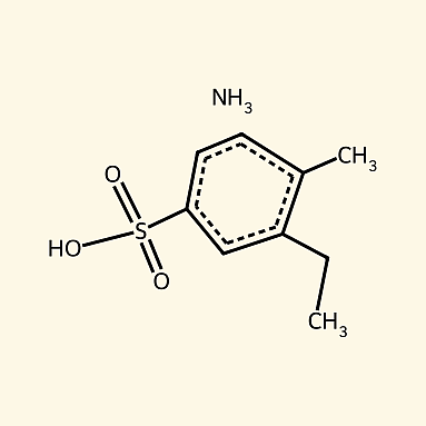 CCc1cc(S(=O)(=O)O)ccc1C.N